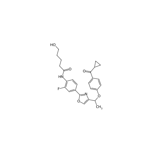 CC(Oc1ccc(C(=O)C2CC2)cc1)c1coc(-c2ccc(NC(=O)CCCCO)c(F)c2)n1